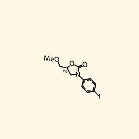 COC[C@@H]1CN(c2ccc(I)cc2)C(=O)O1